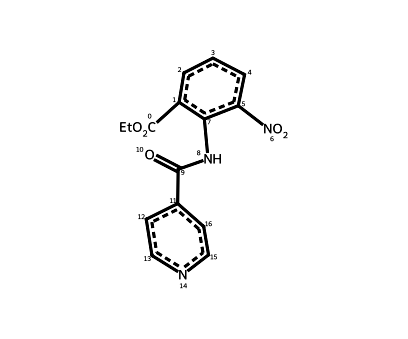 CCOC(=O)c1cccc([N+](=O)[O-])c1NC(=O)c1ccncc1